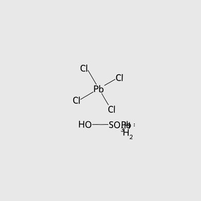 O=S(=O)(O)O.[Cl][Pb]([Cl])([Cl])[Cl].[PbH2]